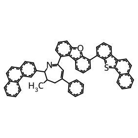 CC1CC(c2ccccc2)=CC(c2cccc3oc4c(-c5cccc6c5sc5c7ccccc7ccc65)cccc4c23)=NC1c1ccc2ccc3ccccc3c2c1